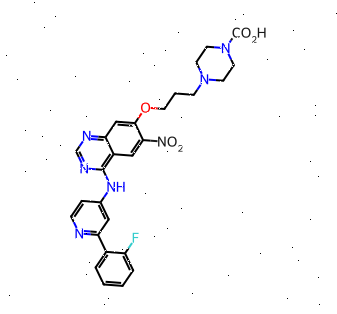 O=C(O)N1CCN(CCCOc2cc3ncnc(Nc4ccnc(-c5ccccc5F)c4)c3cc2[N+](=O)[O-])CC1